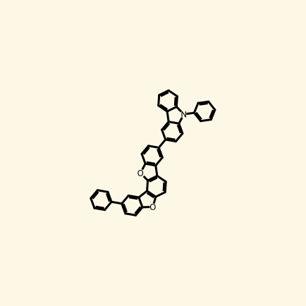 c1ccc(-c2ccc3oc4ccc5c6cc(-c7ccc8c(c7)c7ccccc7n8-c7ccccc7)ccc6oc5c4c3c2)cc1